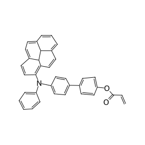 C=CC(=O)Oc1ccc(-c2ccc(N(C3=C4C=CC5=CC=CC6=CC=C(C=C3)C4C56)c3ccccc3)cc2)cc1